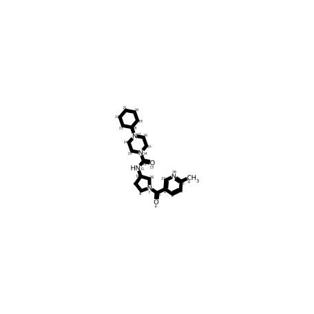 Cc1ccc(C(=O)N2CCC(NC(=O)N3CCN(C4CCCCC4)CC3)C2)cn1